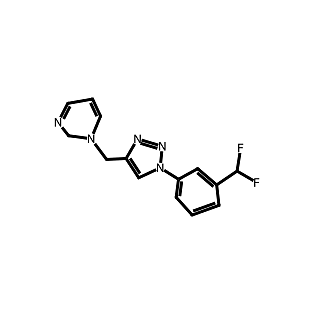 FC(F)c1cccc(-n2cc(CN3C=CC=NC3)nn2)c1